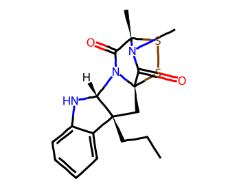 CCC[C@]12C[C@@]34SS[C@@](C)(C(=O)N3[C@H]1Nc1ccccc12)N(C)C4=O